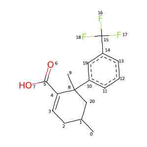 CC1CC=C(C(=O)O)C(C)(c2cccc(C(F)(F)F)c2)C1